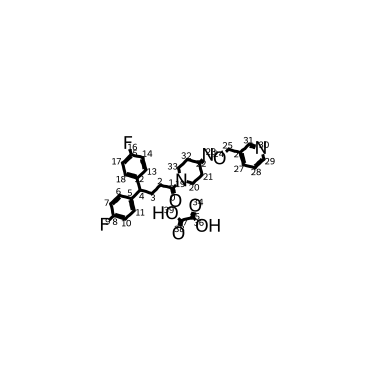 O=C(CCC(c1ccc(F)cc1)c1ccc(F)cc1)N1CCC(=NOCc2cccnc2)CC1.O=C(O)C(=O)O